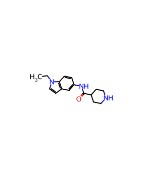 CCn1ccc2cc(NC(=O)C3CCNCC3)ccc21